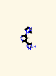 c1cn(-c2cncc(-c3c[nH]nn3)c2)cn1